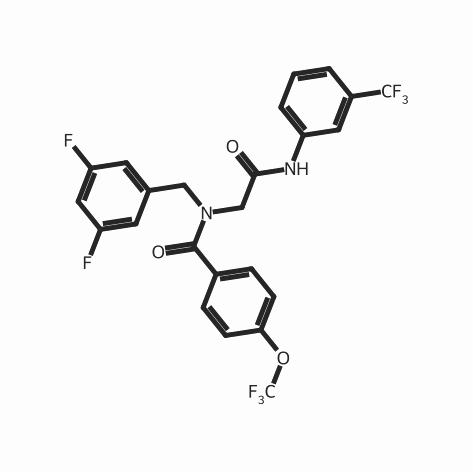 O=C(CN(Cc1cc(F)cc(F)c1)C(=O)c1ccc(OC(F)(F)F)cc1)Nc1cccc(C(F)(F)F)c1